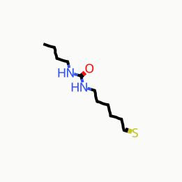 CCCCNC(=O)NCCCCCC=S